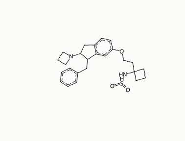 O=[SH](=O)NC1(CCOc2ccc3c(c2)C(Cc2ccccc2)C(N2CCC2)C3)CCC1